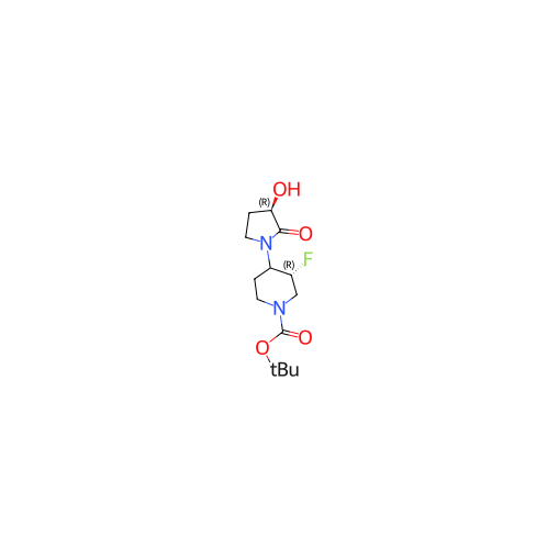 CC(C)(C)OC(=O)N1CCC(N2CC[C@@H](O)C2=O)[C@H](F)C1